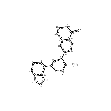 Nc1ncc(-c2cccc3ncsc23)cc1-c1ccc2c(=O)[nH]cnc2c1